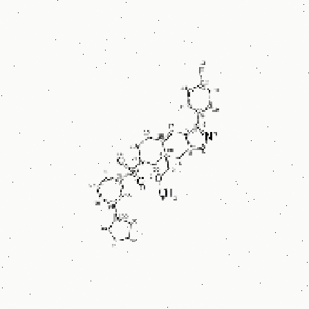 COC[C@]12Cc3cnn(-c4ccc(F)cc4)c3C=C1CCN(S(=O)(=O)c1cccc(N3CCCC3)c1)C2